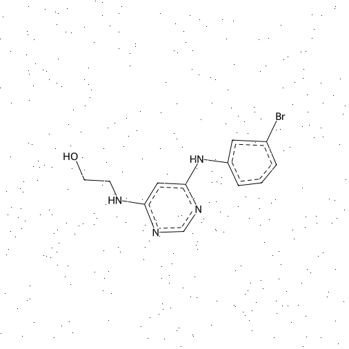 OCCNc1cc(Nc2cccc(Br)c2)ncn1